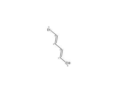 [CH]/C=C/C=C/C[CH2]